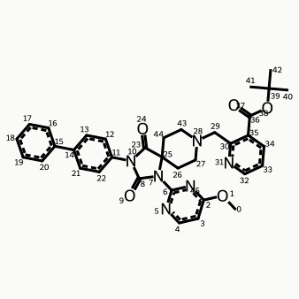 COc1ccnc(N2C(=O)N(c3ccc(-c4ccccc4)cc3)C(=O)C23CCN(Cc2ncccc2C(=O)OC(C)(C)C)CC3)n1